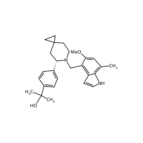 COc1cc(C)c2[nH]ccc2c1CN1CCC2(CC2)C[C@H]1c1ccc(C(C)(C)O)cc1